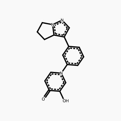 O=c1ccn(-c2cccc(-c3cnn4c3CCC4)c2)cc1O